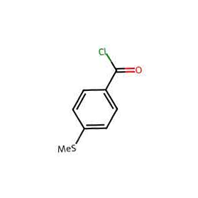 CSc1ccc(C(=O)Cl)cc1